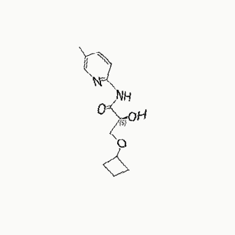 Cc1ccc(NC(=O)[C@@H](O)COC2CCC2)nc1